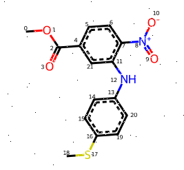 COC(=O)c1ccc([N+](=O)[O-])c(Nc2ccc(SC)cc2)c1